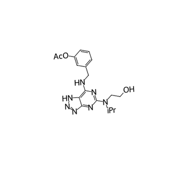 CC(=O)Oc1cccc(CNc2nc(N(CCO)C(C)C)nc3nn[nH]c23)c1